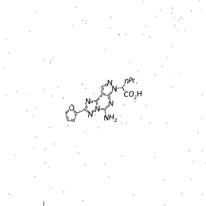 CCCC(C(=O)O)n1ncc2c1nc(N)n1nc(-c3ccco3)nc21